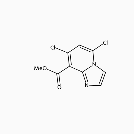 COC(=O)c1c(Cl)cc(Cl)n2ccnc12